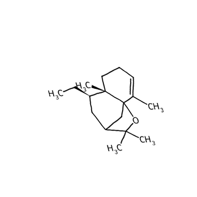 CC[C@@H]1CC2CC3(OC2(C)C)C(C)=CCC[C@@]13C